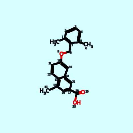 Cc1cccc(C)c1COc1ccc2c(C)cc(C(=O)O)cc2c1